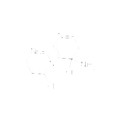 Clc1ccncn1.NC1(Cl)C=CN=CC1